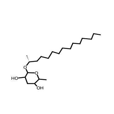 CCCCCCCCCCCCC[C@@H](C)OC1OC(C)C(O)CC1O